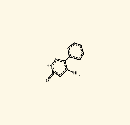 Nc1cc(=O)[nH]nc1-c1ccccc1